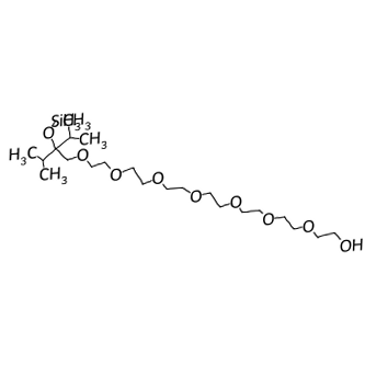 CC(C)C(COCCOCCOCCOCCOCCOCCOCCO)(O[SiH3])C(C)C